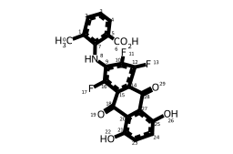 Cc1cccc(C(=O)O)c1Nc1c(F)c(F)c2c(c1F)C(=O)c1c(O)ccc(O)c1C2=O